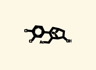 CC(=O)CC1C(c2ccc(Cl)c(Cl)c2)CC2CC(O)C1N2C